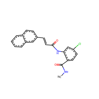 N#CNC(=O)c1ccc(Cl)cc1NC(=O)C=Cc1ccc2ccccc2c1